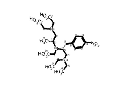 C[C@H](CN(CC(=O)O)CC(=O)O)N(CC(=O)O)[C@H](Cc1ccc([N+](=O)[O-])cc1)CN(CC(=O)O)CC(=O)O